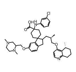 C[C@@H](COc1ccnc2c1[C@H](C)CCC2)CC1Cc2ccc(OCC3CN(C)CCN3C)cc2C12CCC(Nc1cccc(Cl)c1)(C(=O)O)CC2